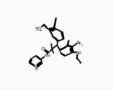 CCNc1ccc(C(c2ccc(C)c(CO)c2)C(C)(C)C(=O)Nc2cccnc2)c(C)c1N